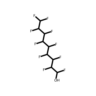 OC(F)C(F)C(F)C(F)C(F)C(F)C(F)C(F)C(F)F